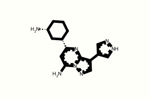 Nc1cc([C@H]2CCC[C@@H](N)C2)nc2c(-c3cn[nH]c3)cnn12